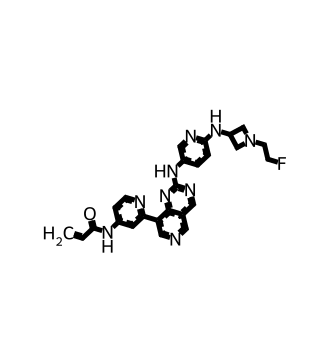 C=CC(=O)Nc1ccnc(-c2cncc3cnc(Nc4ccc(NC5CN(CCF)C5)nc4)nc23)c1